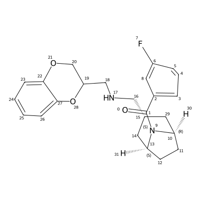 O=C(c1cccc(F)c1)N1[C@@H]2CC[C@H]1C[C@H](CNCC1COc3ccccc3O1)C2